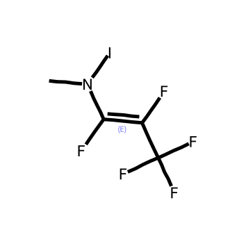 CN(I)/C(F)=C(\F)C(F)(F)F